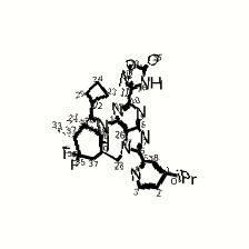 CC(C)c1ccnc(-c2nc3nc(-c4noc(=O)[nH]4)nc(N[C@H](C)C4CCC4)c3n2C[C@@H]2CC[C@@H](C)C(F)(F)C2)c1